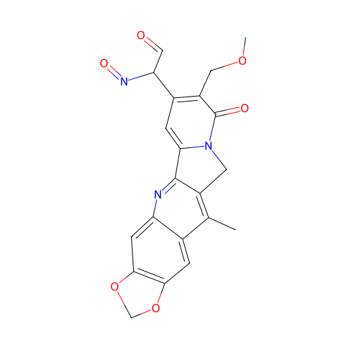 COCc1c(C(C=O)N=O)cc2n(c1=O)Cc1c-2nc2cc3c(cc2c1C)OCO3